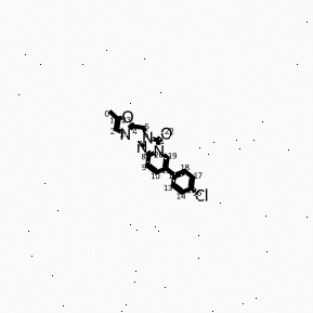 Cc1cnc(Cn2nc3ccc(-c4ccc(Cl)cc4)cn3c2=O)o1